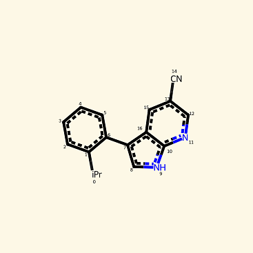 CC(C)c1ccccc1-c1c[nH]c2ncc(C#N)cc12